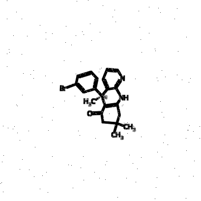 CC1(C)CC(=O)C2=C(C1)Nc1ncccc1[C@]2(C)c1cccc(Br)c1